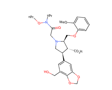 CCCON(CCC)C(=O)CN1C[C@H](c2cc(CO)c3c(c2)OCO3)[C@@H](C(=O)O)[C@@H]1COc1ccccc1OC